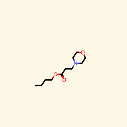 CCCCOC(=O)CCN1CCOCC1